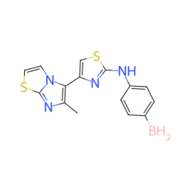 Bc1ccc(Nc2nc(-c3c(C)nc4sccn34)cs2)cc1